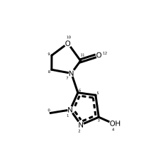 Cn1nc(O)cc1N1CCOC1=O